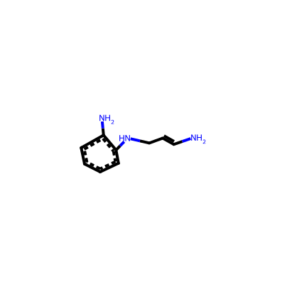 NC=CCNc1ccccc1N